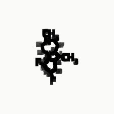 Cc1c2n(c3c(F)cc(F)cc13)CCN(C)CC2